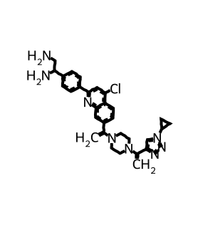 C=C(c1ccc2c(Cl)cc(-c3ccc(C(N)CN)cc3)nc2c1)N1CCN(C(=C)c2cn(C3CC3)nn2)CC1